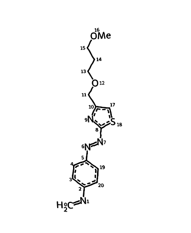 C=Nc1ccc(/N=N/c2nc(COCCCOC)cs2)cc1